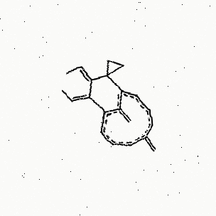 C=c1cccc2c(=C)c(ccc1)C1(CC1)C(=C/C)/C2=C\C